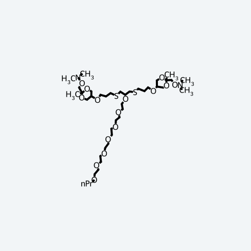 CCCOCCOCCOCCOCCOCCOCCOC(CSCCCOC1COC(C)(CON(C)C)OC1)CSCCCOC1COC(C)(CON(C)C)OC1